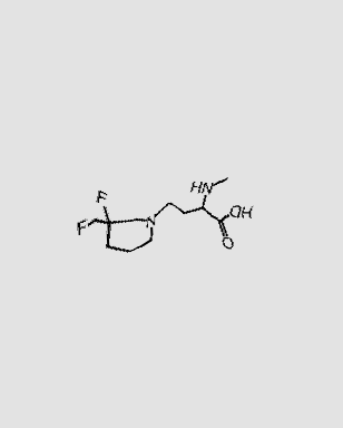 CNC(CCN1CCCC(F)(F)C1)C(=O)O